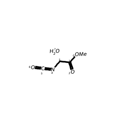 COC(=O)CN=C=O.O